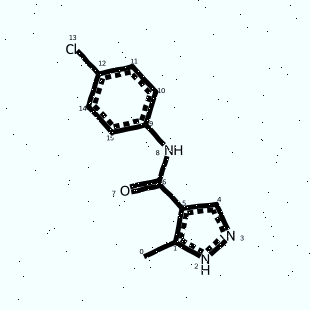 Cc1[nH]ncc1C(=O)Nc1ccc(Cl)cc1